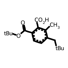 Cc1c(CC(C)(C)C)ccc(C(=O)OC(C)(C)C)c1C(=O)O